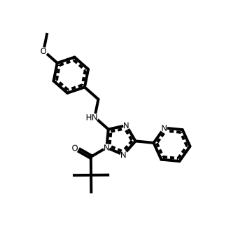 COc1ccc(CNc2nc(-c3ccccn3)nn2C(=O)C(C)(C)C)cc1